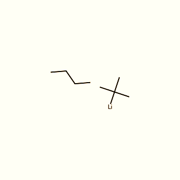 CCCC.[Li][C](C)(C)C